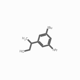 CCCc1cc([C](C)CO)cc(C(C)(C)C)c1